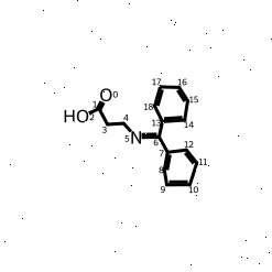 O=C(O)CCN=C(c1ccccc1)c1ccccc1